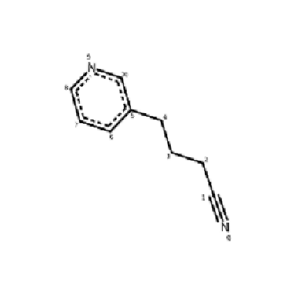 N#CCCCc1cccnc1